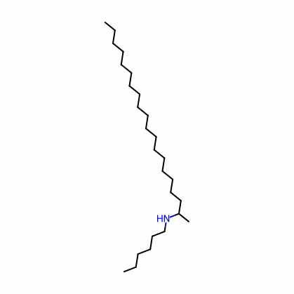 CCCCCCCCCCCCCCCCCCC(C)NCCCCCC